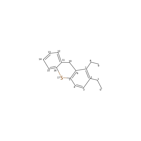 CCc1ccc2c(c1CC)Cc1ccccc1S2